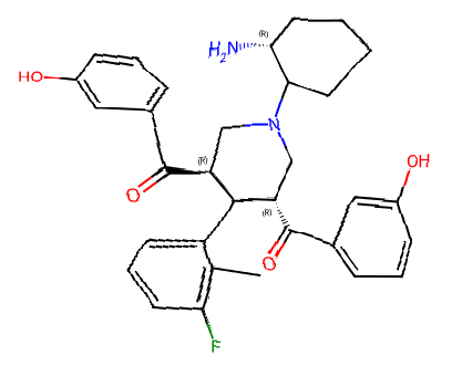 Cc1c(F)cccc1C1[C@@H](C(=O)c2cccc(O)c2)CN(C2CCCC[C@H]2N)C[C@@H]1C(=O)c1cccc(O)c1